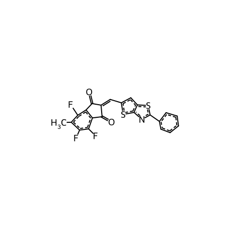 Cc1c(F)c(F)c2c(c1F)C(=O)/C(=C/c1cc3sc(-c4ccccc4)nc3s1)C2=O